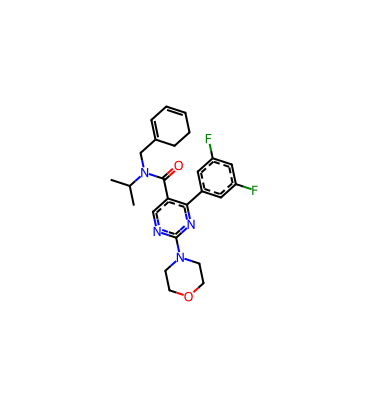 CC(C)N(CC1=CC=CCC1)C(=O)c1cnc(N2CCOCC2)nc1-c1cc(F)cc(F)c1